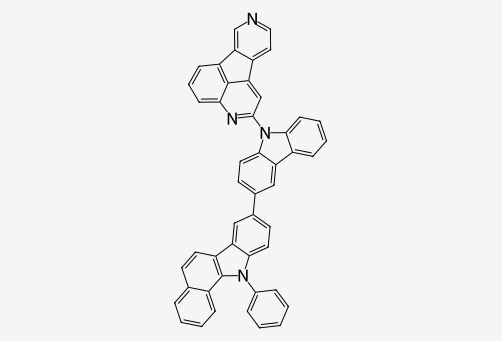 c1ccc(-n2c3ccc(-c4ccc5c(c4)c4ccccc4n5-c4cc5c6c(cccc6n4)-c4cnccc4-5)cc3c3ccc4ccccc4c32)cc1